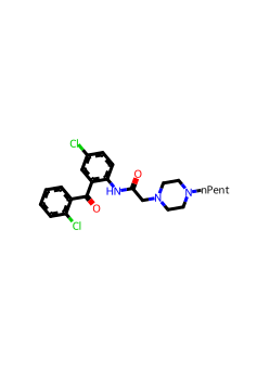 CCCCCN1CCN(CC(=O)Nc2ccc(Cl)cc2C(=O)c2ccccc2Cl)CC1